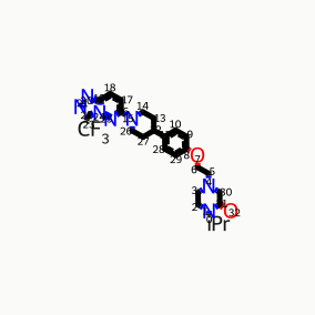 CC(C)N1CCN(CCOc2ccc(C3CCN(c4ccc5nnc(C(F)(F)F)n5n4)CC3)cc2)CC1=O